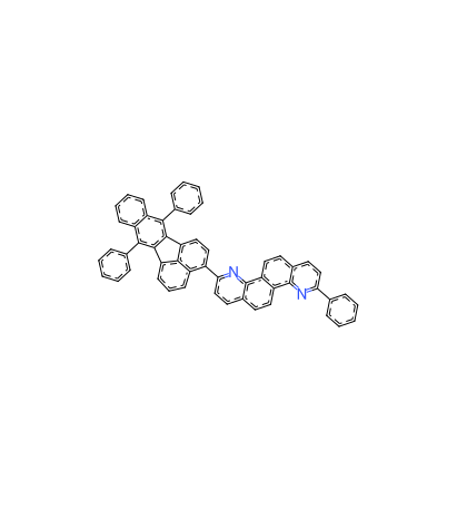 c1ccc(-c2ccc3ccc4c(ccc5ccc(-c6ccc7c8c(cccc68)-c6c-7c(-c7ccccc7)c7ccccc7c6-c6ccccc6)nc54)c3n2)cc1